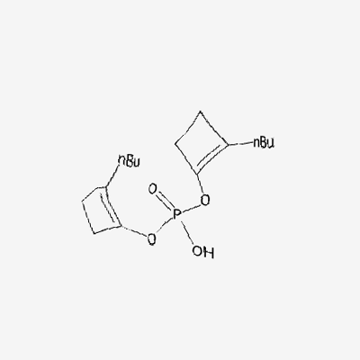 CCCCC1=C(OP(=O)(O)OC2=C(CCCC)CC2)CC1